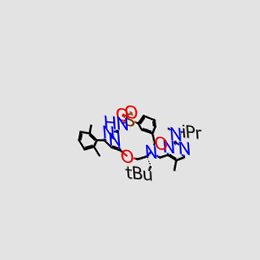 Cc1cnc(N(C)C(C)C)nc1CN1C(=O)c2cccc(c2)S(=O)(=O)Nc2nc(cc(-c3c(C)cccc3C)n2)OC[C@H]1CC(C)(C)C